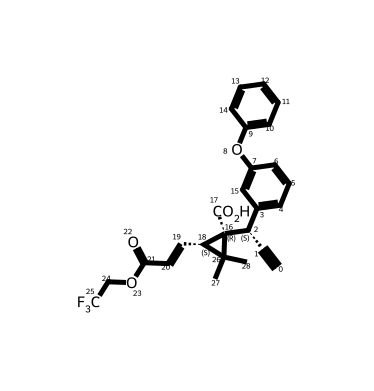 C#C[C@@H](c1cccc(Oc2ccccc2)c1)[C@]1(C(=O)O)[C@@H](C=CC(=O)OCC(F)(F)F)C1(C)C